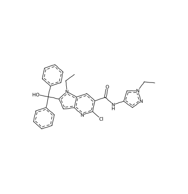 CCn1cc(NC(=O)c2cc3c(cc(C(O)(c4ccccc4)c4ccccc4)n3CC)nc2Cl)cn1